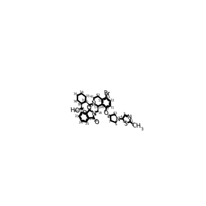 CC1N=CC(N2CC[C@H](Oc3ccc(Br)c4c3[C@@H](CN3Cc5ccccc5C3=O)N(C(=O)[C@@H]3CCCC[C@@H]3C(=O)O)CC4)C2)S1